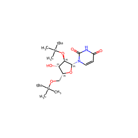 CC(C)(C)[Si](C)(C)OC[C@H]1O[C@@H](n2ccc(=O)[nH]c2=O)[C@H](O[Si](C)(C)C(C)(C)C)[C@H]1O